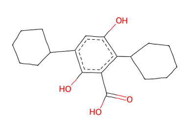 O=C(O)c1c(O)c(C2CCCCC2)cc(O)c1C1CCCCC1